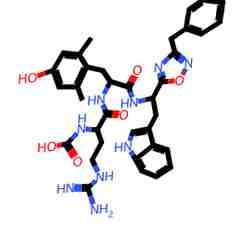 Cc1cc(O)cc(C)c1CC(NC(=O)C(CCNC(=N)N)NC(=O)O)C(=O)NC(Cc1c[nH]c2ccccc12)c1nc(Cc2ccccc2)no1